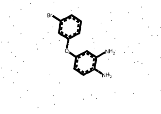 Nc1ccc(Oc2cccc(Br)c2)cc1N